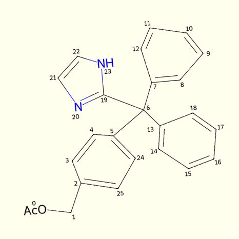 CC(=O)OCc1ccc(C(c2ccccc2)(c2ccccc2)c2ncc[nH]2)cc1